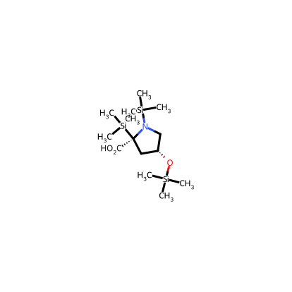 C[Si](C)(C)O[C@H]1CN([Si](C)(C)C)[C@](C(=O)O)([Si](C)(C)C)C1